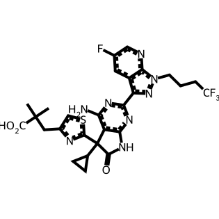 CC(C)(Cc1csc(C2(C3CC3)C(=O)Nc3nc(-c4nn(CCCC(F)(F)F)c5ncc(F)cc45)nc(N)c32)n1)C(=O)O